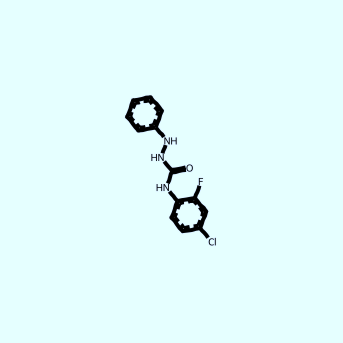 O=C(NNc1ccccc1)Nc1ccc(Cl)cc1F